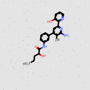 N#Cc1c(-c2cccc(NC(=O)C(O)CCC(=O)O)c2)cc(-c2ncccc2O)nc1N